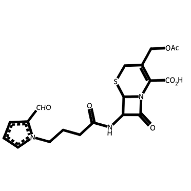 CC(=O)OCC1=C(C(=O)O)N2C(=O)C(NC(=O)CCCn3cccc3C=O)C2SC1